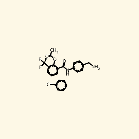 CC(=O)Oc1c(C(=O)Nc2ccc(CN)cc2)cccc1C(F)(F)F.Clc1ccccc1